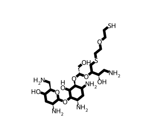 NC[C@H](O)C(CSCCOCCS)O[C@@H](CO)O[C@H]1C(N)C[C@H](N)C(OC2O[C@H](CN)C(O)C[C@H]2N)C1O